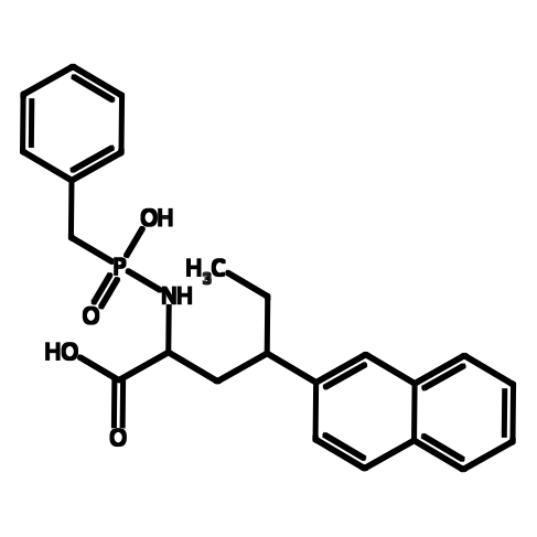 CCC(CC(NP(=O)(O)Cc1ccccc1)C(=O)O)c1ccc2ccccc2c1